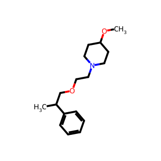 COC1CCN(CCOCC(C)c2ccccc2)CC1